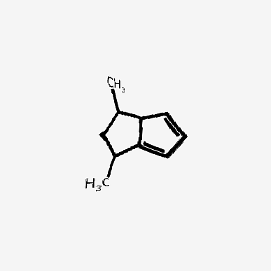 CC1CC(C)C2C=CC=C12